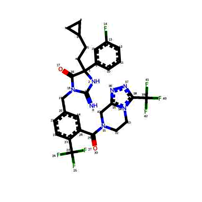 N=C1NC(CCC2CC2)(c2cccc(F)c2)C(=O)N1Cc1ccc(C(F)(F)F)c(C(=O)N2CCn3c(nnc3C(F)(F)F)C2)c1